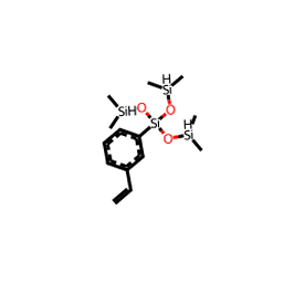 C=Cc1cccc([Si](O[SiH](C)C)(O[SiH](C)C)O[SiH](C)C)c1